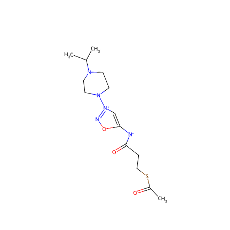 CC(=O)SCCC(=O)[N-]c1c[n+](N2CCN(C(C)C)CC2)no1